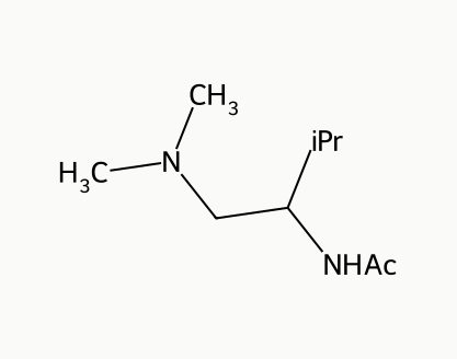 CC(=O)NC(CN(C)C)C(C)C